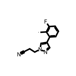 [CH2]c1c(F)cccc1-c1cnn(CCC#N)c1